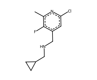 Cc1nc(Cl)cc(CNCC2CC2)c1F